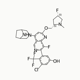 CN1C[C@@H](F)C[C@H]1COc1cc(N2CC3CCC(C2)N3)c2cnc(-c3cc(O)cc(Cl)c3C(F)(F)F)c(F)c2n1